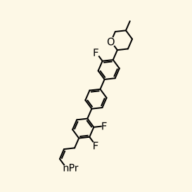 CCC/C=C\Cc1ccc(-c2ccc(-c3ccc(C4CCC(C)CO4)c(F)c3)cc2)c(F)c1F